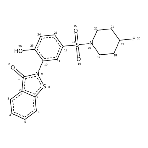 O=c1c2ccccc2sn1-c1cc(S(=O)(=O)N2CCC(F)CC2)ccc1O